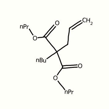 C=CCC(CCCC)(C(=O)OCCC)C(=O)OCCC